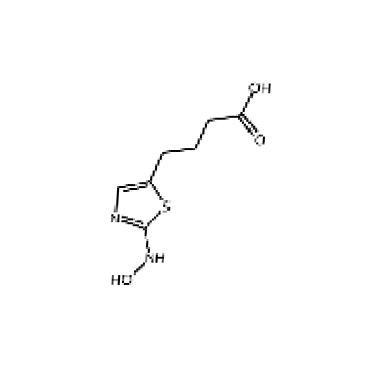 O=C(O)CCCc1cnc(NO)s1